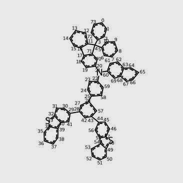 c1ccc(C2(c3ccccc3)c3ccccc3-c3ccc(N(c4ccc(-c5cc(-c6ccc7sc8ccccc8c7c6)cc(-c6ccc7sc8ccccc8c7c6)c5)cc4)c4ccc5ccccc5c4)cc32)cc1